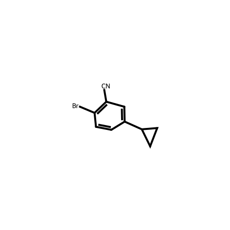 N#Cc1cc(C2CC2)ccc1Br